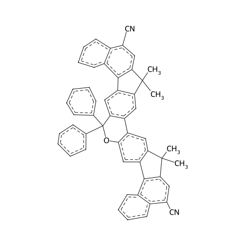 CC1(C)c2cc3c(cc2-c2c1cc(C#N)c1ccccc21)OC(c1ccccc1)(c1ccccc1)c1cc2c(cc1-3)C(C)(C)c1cc(C#N)c3ccccc3c1-2